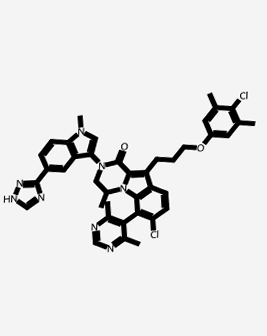 Cc1cc(OCCCc2c3n(c4c(-c5c(C)ncnc5C)c(Cl)ccc24)C(C)CN(c2cn(C)c4ccc(-c5nc[nH]n5)cc24)C3=O)cc(C)c1Cl